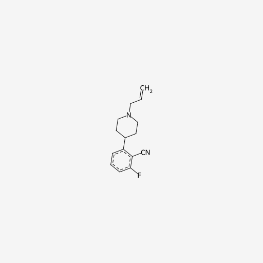 C=CCN1CCC(c2cccc(F)c2C#N)CC1